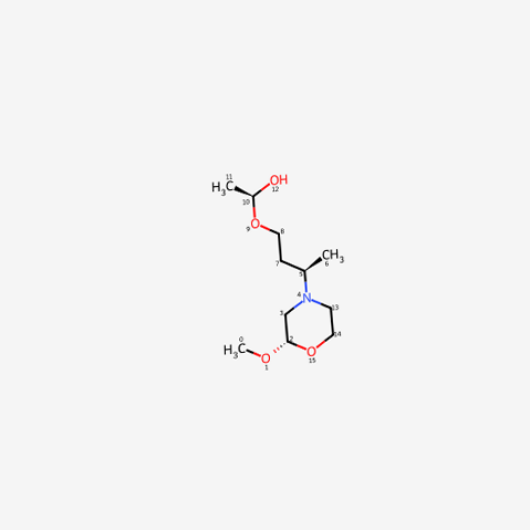 CO[C@@H]1CN([C@H](C)CCO[C@@H](C)O)CCO1